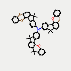 CC1(C)c2ccccc2Oc2c1ccc1c2-c2ccc(N(c3ccc4c(c3)C(C)(C)c3ccc5c(c3-4)Oc3ccccc3S5)c3ccc4c(c3)C(C)(C)c3ccc5c(c3-4)Sc3ccccc3S5)cc2C1(C)C